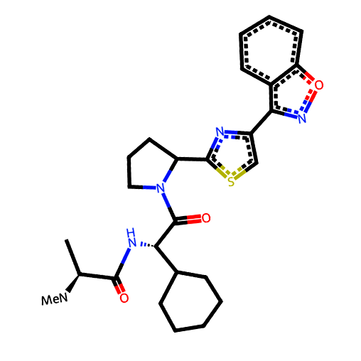 CN[C@@H](C)C(=O)N[C@H](C(=O)N1CCCC1c1nc(-c2noc3ccccc23)cs1)C1CCCCC1